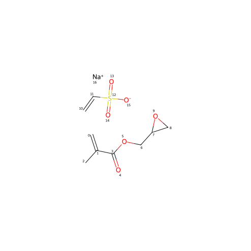 C=C(C)C(=O)OCC1CO1.C=CS(=O)(=O)[O-].[Na+]